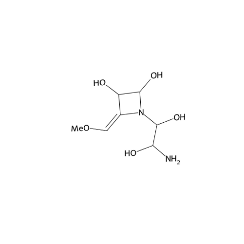 CO/C=C1\C(O)C(O)N1C(O)C(N)O